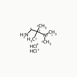 CN(C)C(C)(C)CN.Cl.Cl